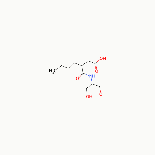 CCCCC(CC(=O)O)C(=O)NC(CO)CO